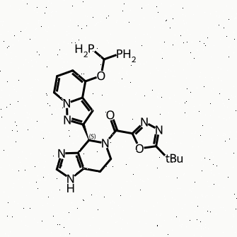 CC(C)(C)c1nnc(C(=O)N2CCc3[nH]cnc3[C@H]2c2cc3c(OC(P)P)cccn3n2)o1